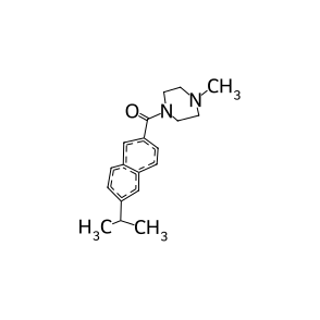 CC(C)c1ccc2cc(C(=O)N3CCN(C)CC3)ccc2c1